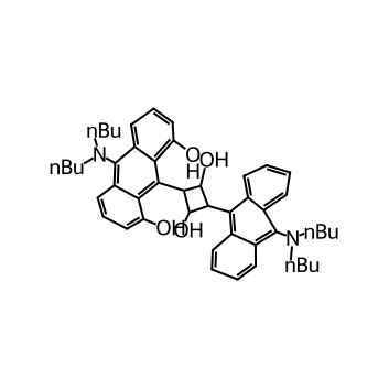 CCCCN(CCCC)c1c2ccccc2c(C2C(O)C(c3c4c(O)cccc4c(N(CCCC)CCCC)c4cccc(O)c34)C2O)c2ccccc12